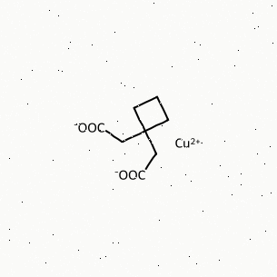 O=C([O-])CC1(CC(=O)[O-])CCC1.[Cu+2]